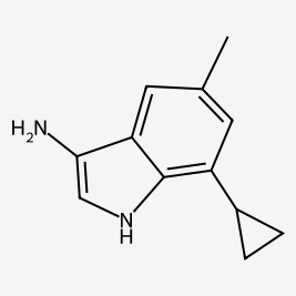 Cc1cc(C2CC2)c2[nH]cc(N)c2c1